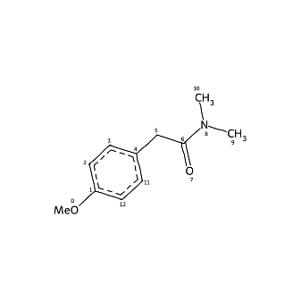 COc1ccc(CC(=O)N(C)C)cc1